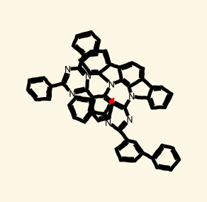 c1ccc(-c2cccc(-c3nc(-c4ccccc4)nc(-n4c5ccccc5c5ccc6c7ccccc7n(-c7ccccc7-c7nc(-c8ccccc8)nc(-c8ccccc8)n7)c6c54)n3)c2)cc1